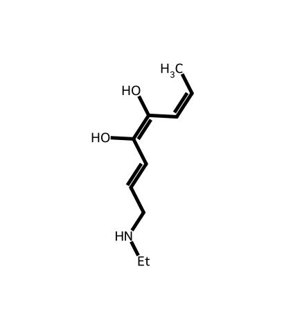 C\C=C/C(O)=C(O)\C=C\CNCC